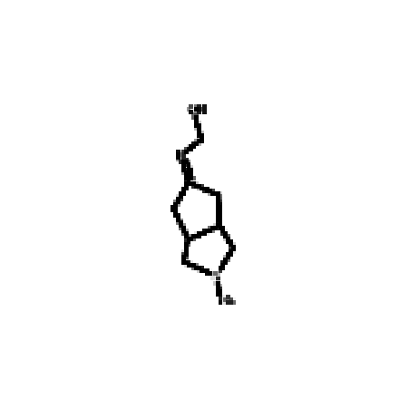 CC(C)(C)N1CC2CC(=NCO)CC2C1